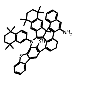 CC1(C)CCC(C)(C)c2cc(N3C4=C(C5=C(c6cc7ccccc7cc6N)CCC=C5c5cc6c(sc7ccccc76)c3c5S)C(C)(C)c3cc5c(cc34)C(C)(C)CCC5(C)C)ccc21